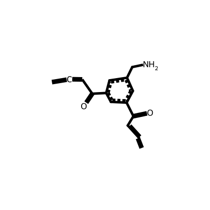 C=C=CC(=O)c1cc(CN)cc(C(=O)C=C=C)c1